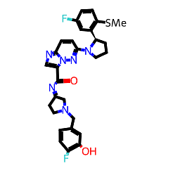 CSc1ccc(F)cc1[C@H]1CCCN1c1ccc2ncc(C(=O)/N=C3/CCN(Cc4ccc(F)c(O)c4)C3)n2n1